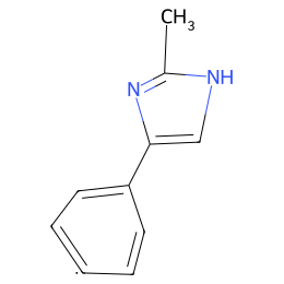 Cc1nc(-c2cc[c]cc2)c[nH]1